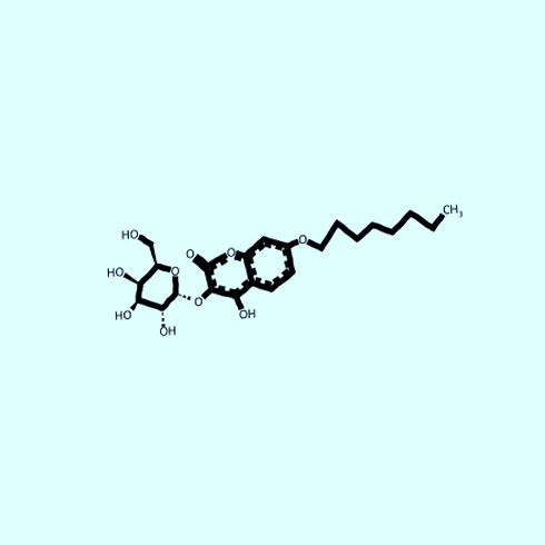 CCCCCCCCOc1ccc2c(O)c(O[C@H]3O[C@H](CO)[C@H](O)[C@H](O)[C@H]3O)c(=O)oc2c1